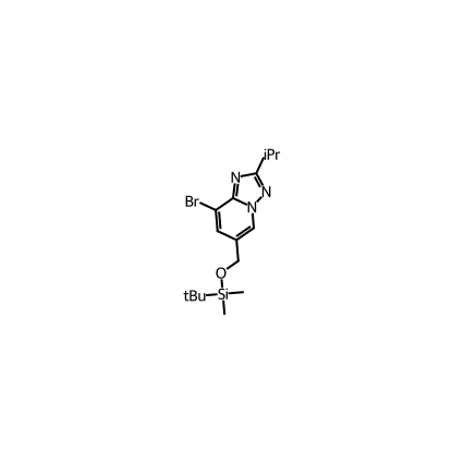 CC(C)c1nc2c(Br)cc(CO[Si](C)(C)C(C)(C)C)cn2n1